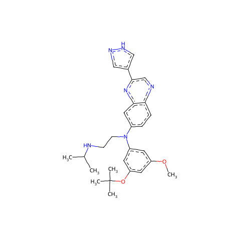 COc1cc(OC(C)(C)C)cc(N(CCNC(C)C)c2ccc3ncc(-c4cn[nH]c4)nc3c2)c1